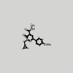 CCCNC(=O)c1cc(-c2ccc(OC)cc2)nn(CC2CC2)c1=O